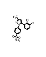 NS(=O)(=O)c1ccc(-n2nc(C(F)(F)F)nc2-c2cccc(Cl)c2Cl)cc1